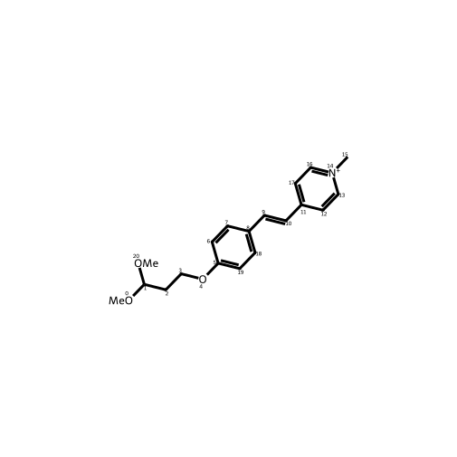 COC(CCOc1ccc(C=Cc2cc[n+](C)cc2)cc1)OC